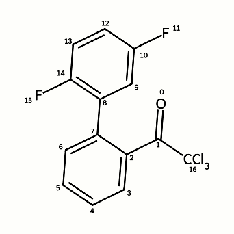 O=C(c1ccccc1-c1cc(F)ccc1F)C(Cl)(Cl)Cl